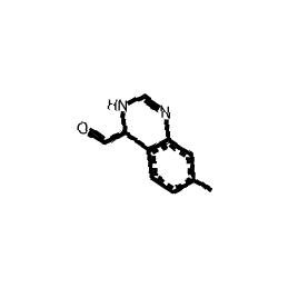 Cc1ccc2c(c1)N=CNC2C=O